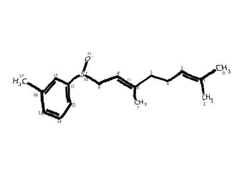 CC(C)=CCC/C(C)=C/C[S+]([O-])c1cccc(C)c1